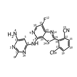 Cc1nc(N)cc(Nc2ncc(F)c3nc(-c4c(Cl)cccc4C#N)sc23)n1